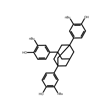 CCCCc1cc(C23CC4CC(c5ccc(O)c(CCCC)c5)(C2)CC(c2ccc(O)c(CCCC)c2)(C4)C3)ccc1O